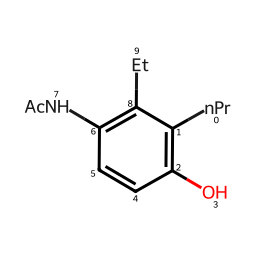 CCCc1c(O)ccc(NC(C)=O)c1CC